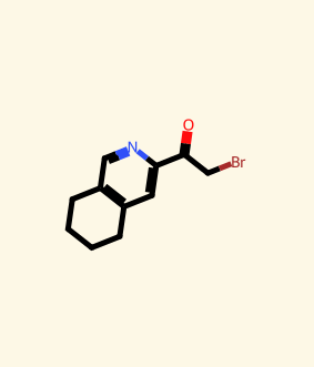 O=C(CBr)c1cc2c(cn1)CCCC2